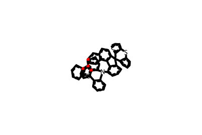 c1ccc(-c2ccccc2N(c2cccc3c2-c2c(ccc4ccccc24)C32c3ccccc3Sc3ccccc32)c2cccc3c2oc2ccccc23)cc1